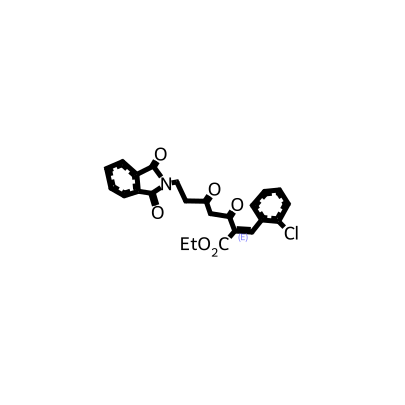 CCOC(=O)/C(=C/c1ccccc1Cl)C(=O)CC(=O)CCN1C(=O)c2ccccc2C1=O